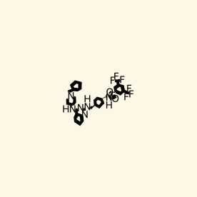 O=S(=O)(NC[C@H]1CC[C@H](CNc2nc(NC3CCN(Cc4ccccc4)CC3)c3ccccc3n2)CC1)c1cc(C(F)(F)F)cc(C(F)(F)F)c1